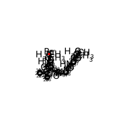 CC(C)(C)OC(=O)N[C@@H]1C(=O)N2C(C(=O)OC(c3ccccc3)c3ccccc3)=C(C=C3CCN(Cc4ccc[n+](CC(=O)Nc5cccc(OC(=O)OC(C)(C)C)c5)c4)C3=O)CS[C@H]12.[Br-]